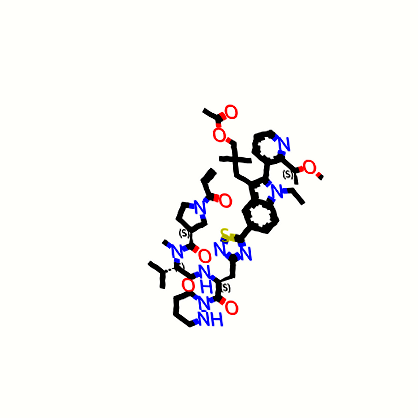 C=CC(=O)N1CC[C@H](C(=O)N(C)[C@H](C(=O)N[C@@H](Cc2nsc(-c3ccc4c(c3)c(CC(C)(C)COC(C)=O)c(-c3cccnc3[C@H](C)OC)n4CC)n2)C(=O)N2CCCCN2)C(C)C)C1